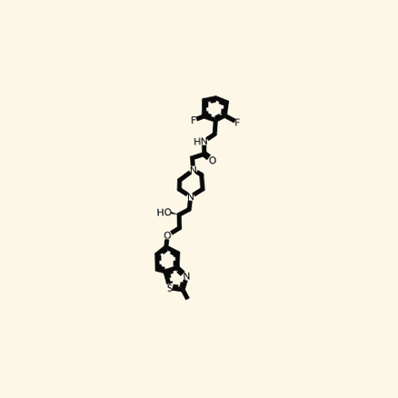 Cc1nc2cc(OC[C@H](O)CN3CCN(CC(=O)NCc4c(F)cccc4F)CC3)ccc2s1